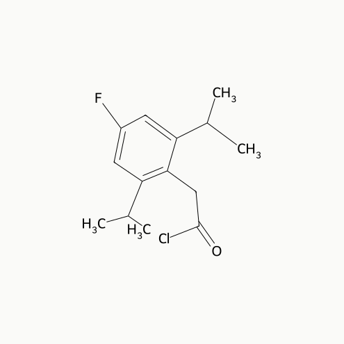 CC(C)c1cc(F)cc(C(C)C)c1CC(=O)Cl